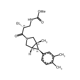 CC[C@H](CNC(=O)OC)C(=O)N1C[C@H]2[C@H](c3ccc(C)c(C)c3)[C@@]2(C)C1